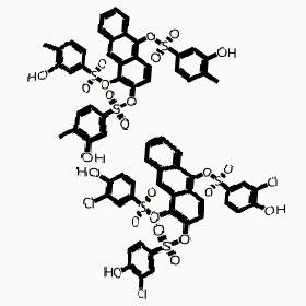 Cc1ccc(S(=O)(=O)Oc2ccc3c(OS(=O)(=O)c4ccc(C)c(O)c4)c4ccccc4cc3c2OS(=O)(=O)c2ccc(C)c(O)c2)cc1O.O=S(=O)(Oc1ccc2c(OS(=O)(=O)c3ccc(O)c(Cl)c3)c3ccccc3cc2c1OS(=O)(=O)c1ccc(O)c(Cl)c1)c1ccc(O)c(Cl)c1